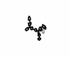 c1ccc(-c2ccc(N(c3ccccc3)c3ccc(-c4ccc(N(c5ccc(-c6ccccc6)cc5)c5ccc6c(c5)oc5ccccc56)cc4)cc3)cc2)cc1